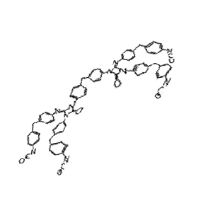 O=C=Nc1ccc(Cc2ccc(N=C3N(c4ccc(Cc5ccc(N=C=O)cc5)cc4)C(=O)N3c3ccc(Cc4ccc(N5C(=O)N(c6ccc(Cc7ccc(N=C=O)cc7)cc6)C5=Nc5ccc(Cc6ccc(N=C=O)cc6)cc5)cc4)cc3)cc2)cc1